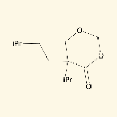 CC(C)CCC1(C(C)C)COCOC1=O